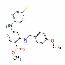 COC(=O)c1cnc(Nc2ccc(F)cn2)cc1NCc1ccc(OC)cc1